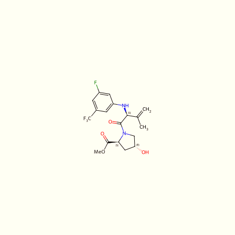 C=C(C)[C@H](Nc1cc(F)cc(C(F)(F)F)c1)C(=O)N1C[C@H](O)C[C@H]1C(=O)OC